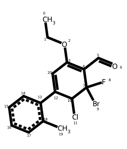 CCOC1=C(C=O)C(F)(Br)C(Cl)C(c2ccccc2C)=C1